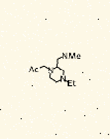 CCN1CCN(CC(C)=O)C(CNC)C1